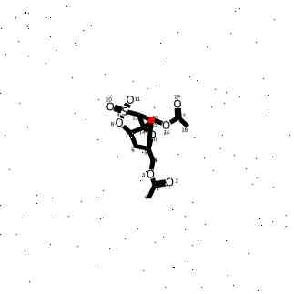 CC(=O)OCC12CC3OS(=O)(=O)C(C1)C3(COC(C)=O)O2